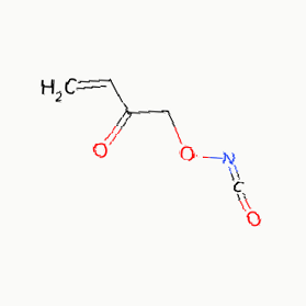 C=CC(=O)CON=C=O